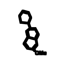 COc1ccc2cc(C3CC=CCC3)ccc2c1